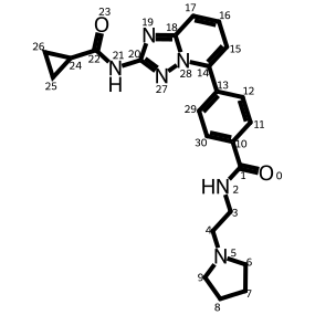 O=C(NCCN1CCCC1)c1ccc(-c2cccc3nc(NC(=O)C4CC4)nn23)cc1